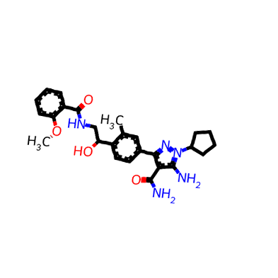 COc1ccccc1C(=O)NCC(O)c1ccc(-c2nn(C3CCCC3)c(N)c2C(N)=O)cc1C